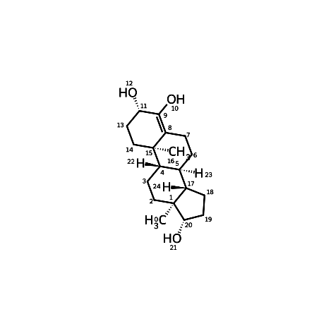 C[C@]12CC[C@H]3[C@@H](CCC4=C(O)[C@@H](O)CC[C@@]43C)[C@@H]1CC[C@@H]2O